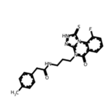 Cc1ccc(CC(=O)NCCCn2c(=O)c3cccc(F)c3n3c(=S)[nH]nc23)cc1